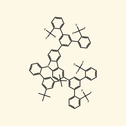 CC(C)(C)c1cc(-c2ccccc2-n2c3ccc(-c4cc(-c5ccccc5C(F)(F)F)cc(-c5ccccc5C(F)(F)F)c4)cc3c3cc(-c4cc(-c5ccccc5C(F)(F)F)cc(-c5ccccc5C(F)(F)F)c4)ccc32)cc(C(C)(C)C)c1